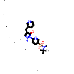 CCC(C)(C)N(C)S(=O)(=O)c1ccc(-n2[nH]cc(Cc3cccnc3)c2=O)nc1